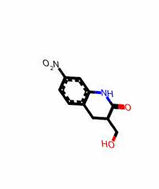 O=C1Nc2cc([N+](=O)[O-])ccc2CC1CO